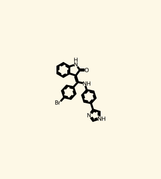 O=C1Nc2ccccc2/C1=C(/Nc1ccc(-c2c[nH]cn2)cc1)c1ccc(Br)cc1